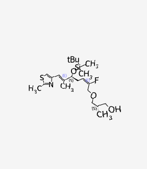 C/C(=C\c1csc(C)n1)[C@H](C/C=C(/F)COC[C@@H](C)CO)O[Si](C)(C)C(C)(C)C